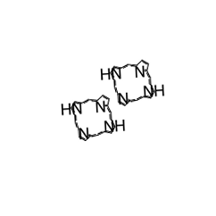 C1=Cc2cc3ccc(cc4nc(cc5ccc(cc1n2)[nH]5)C=C4)[nH]3.C1=Cc2cc3ccc(cc4nc(cc5ccc(cc1n2)[nH]5)C=C4)[nH]3